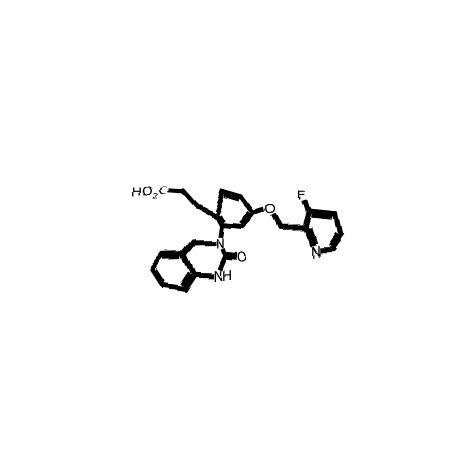 O=C(O)CCc1ccc(OCc2ncccc2F)cc1N1Cc2ccccc2NC1=O